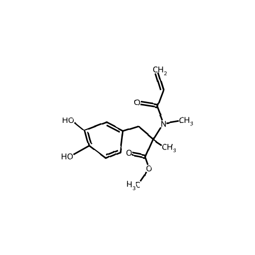 C=CC(=O)N(C)C(C)(Cc1ccc(O)c(O)c1)C(=O)OC